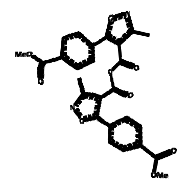 COC(=O)c1ccc(-c2onc(C)c2C(=O)OC(=O)c2c(C)noc2-c2ccc(C(=O)OC)cc2)cc1